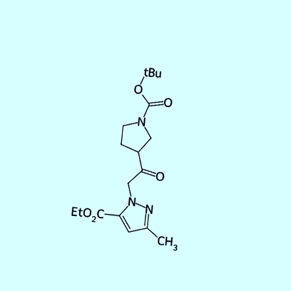 CCOC(=O)c1cc(C)nn1CC(=O)C1CCN(C(=O)OC(C)(C)C)C1